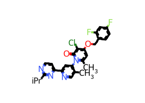 Cc1cnc(-c2ccnc(C(C)C)n2)cc1-n1c(C)cc(OCc2ccc(F)cc2F)c(Cl)c1=O